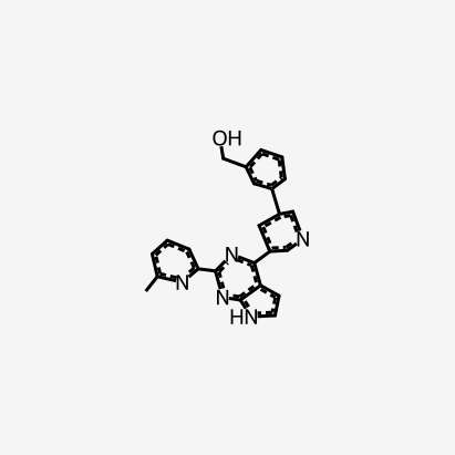 Cc1cccc(-c2nc(-c3cncc(-c4cccc(CO)c4)c3)c3cc[nH]c3n2)n1